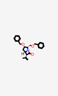 C=C(C)[C@@H]1C(=O)N2[C@@H]1C[C@H](OCc1ccccc1)[C@@H]2COCc1ccccc1